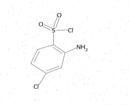 Nc1cc(Cl)ccc1S(=O)(=O)Cl